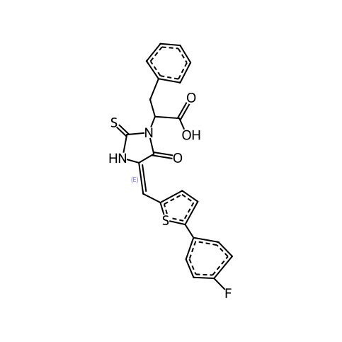 O=C(O)C(Cc1ccccc1)N1C(=O)/C(=C\c2ccc(-c3ccc(F)cc3)s2)NC1=S